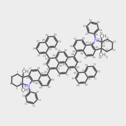 CC12CCCCC1(C)N(c1ccccc1)c1c2ccc2c(-c3cc(-c4cccc5ccccc45)c4ccc5c(-c6cccc7c8c(ccc67)C6(C)CCCCC6(C)N8c6ccccc6)cc(-c6cccc7ccccc67)c6ccc3c4c65)cccc12